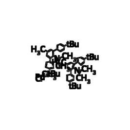 Cc1cc(-c2ccc(C(C)(C)C)cc2)c(N2C(C)C2C)c(-c2ccc(C(C)(C)C)cc2)c1.Cc1cc(-c2ccc(C(C)(C)C)cc2)c(N2C(C)C2C)c(-c2ccc(C(C)(C)C)cc2)c1.[CH3][Pd+].[Cl-]